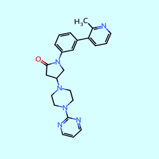 Cc1ncccc1-c1cccc(N2CC(N3CCN(c4ncccn4)CC3)CC2=O)c1